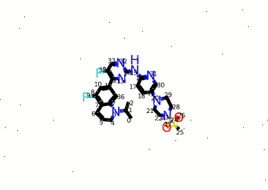 CC(C)N1CC=Cc2c(F)cc(-c3nc(Nc4ccc(N5CCN(S(C)(=O)=O)CC5)cn4)ncc3F)cc21